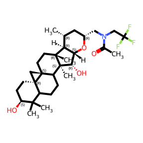 CC(=O)N(C[C@H]1C[C@@H](C)[C@H]2[C@H](O1)[C@H](O)[C@@]1(C)C3CCC4C(C)(C)[C@@H](O)CC[C@@]45C[C@@]35CC[C@]21C)CC(F)(F)F